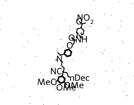 CCCCCCCCCCCCC(C#N)(CCCN(C)C(C)c1cccc(OCC(=O)NN2CCC(C(C)O[N+](=O)[O-])CC2)c1)c1cc(OC)c(OC)c(OC)c1